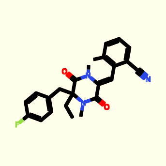 CCC1(Cc2ccc(F)cc2)C(=O)N(C)C(=Cc2c(C)cccc2C#N)C(=O)N1C